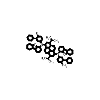 CC(C)c1cc(N(c2ccc(F)c(-c3ccccc3)c2)c2cccc3c2oc2ccccc23)c2ccc3c(C(C)C)cc(N(c4ccc(P)c(-c5ccccc5)c4)c4cccc5c4oc4ccccc45)c4ccc1c2c34